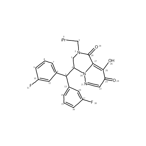 CC(C)CN1CC(C(c2cccc(F)c2)c2cccc(F)c2)n2ncc(=O)c(O)c2C1=O